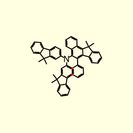 CC1(C)c2ccccc2-c2ccc(N(c3ccc4c(c3)C(C)(C)c3ccccc3-4)c3c(-c4ccccc4)c4c(c5ccccc35)C(C)(C)c3ccccc3-4)cc21